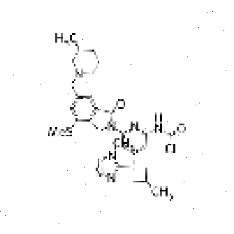 CSc1cc(CN2CCC[C@H](C)C2)cc2c1CN(c1cc([C@]3(c4nncn4C)C[C@@H](C)C3)cc(NC(=O)Cl)n1)C2=O